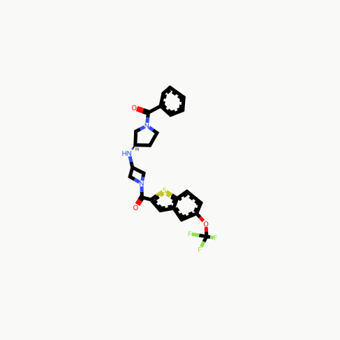 O=C(c1ccccc1)N1CC[C@H](NC2CN(C(=O)c3cc4cc(OC(F)(F)F)ccc4s3)C2)C1